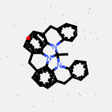 CC(N1c2ccccc2Cc2ccccc21)(N1c2ccccc2Cc2ccccc21)N1c2ccccc2Cc2ccccc21